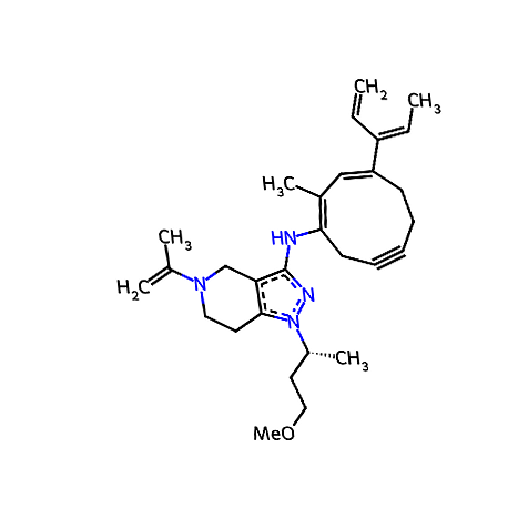 C=CC(=C\C)/C1=C/C(C)=C(/Nc2nn([C@H](C)CCOC)c3c2CN(C(=C)C)CC3)CC#CCC1